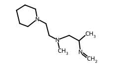 C=NC(C)CN(C)CCN1CCCCC1